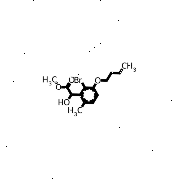 CCCCOc1ccc(C)c(C(O)C(=O)OC)c1Br